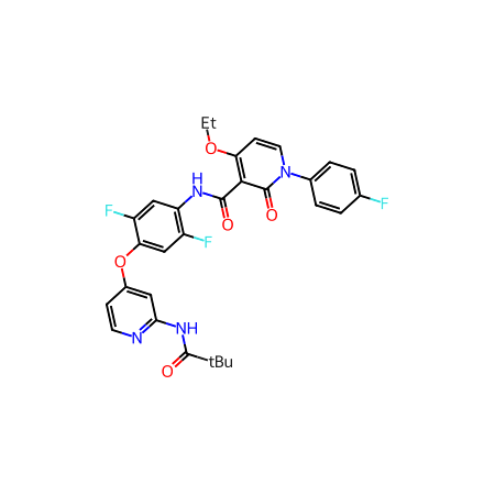 CCOc1ccn(-c2ccc(F)cc2)c(=O)c1C(=O)Nc1cc(F)c(Oc2ccnc(NC(=O)C(C)(C)C)c2)cc1F